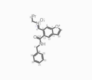 CC(C)C/[N+]([O-])=C/c1cc2occc2cc1C(=O)NCc1ccccc1